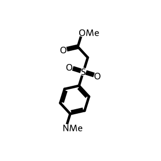 CNc1ccc(S(=O)(=O)CC(=O)OC)cc1